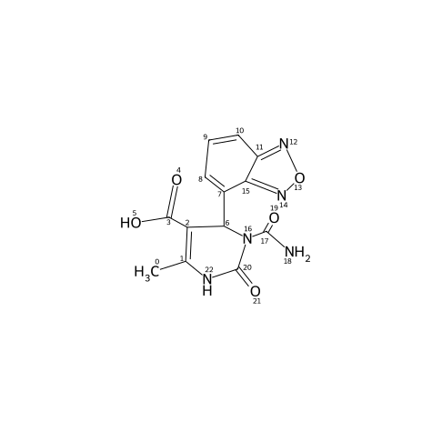 CC1=C(C(=O)O)C(c2cccc3nonc23)N(C(N)=O)C(=O)N1